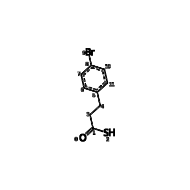 O=C(S)CCc1ccc(Br)cc1